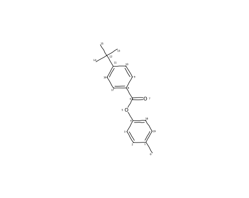 Cc1ccc(OC(=O)c2ccc(C(C)(C)C)cc2)cc1